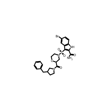 NC(=O)c1[nH]c2ccc(Br)cc2c1S(=O)(=O)N1CCOC(C(=O)N2CCC(Cc3ccccc3)C2)C1